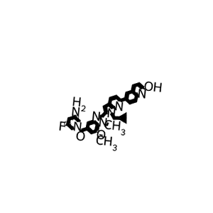 COc1cc(C(=O)N2C[C@H](N)C[C@@H](F)C2)cc2nc(-c3cc4ccc(-c5ccc6nc(O)ccc6c5)nc4n3CC3CC3)n(C)c12